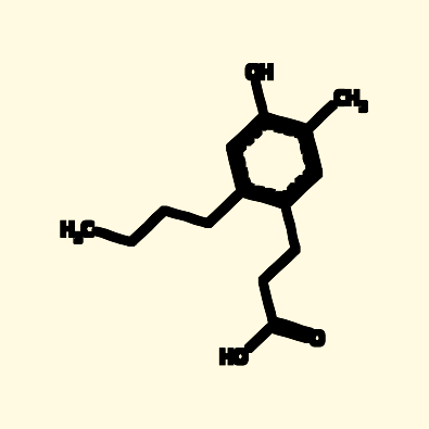 CCCCc1cc(O)c(C)cc1CCC(=O)O